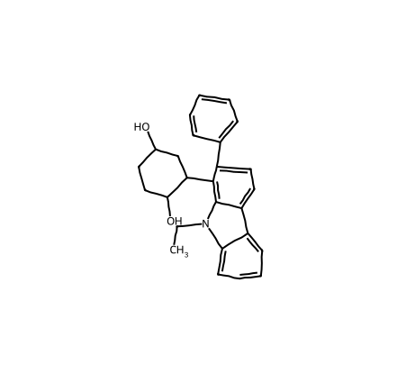 CCn1c2ccccc2c2ccc(-c3ccccc3)c(C3CC(O)CCC3O)c21